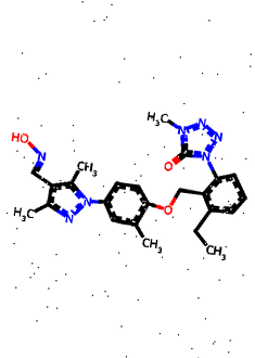 CCc1cccc(-n2nnn(C)c2=O)c1COc1ccc(-n2nc(C)c(C=NO)c2C)cc1C